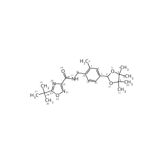 Cc1cc(C2OC(C)(C)C(C)(C)O2)ccc1CNC(=O)c1noc(C(C)(C)C)n1